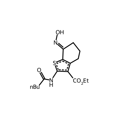 CCCCC(=O)Nc1sc2c(c1C(=O)OCC)CCCC2=NO